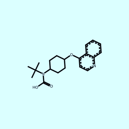 CC(C)(C)N(C(=O)O)C1CCC(Oc2ccnc3ccccc23)CC1